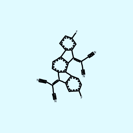 N#CC(C#N)=C1c2cc(F)ccc2-c2c1ccc1c2C(=C(C#N)C#N)c2cc(F)ccc2-1